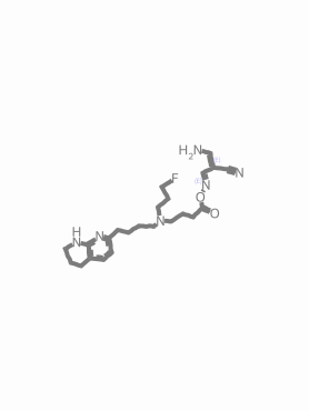 N#CC(/C=N/OC(=O)CCCN(CCCF)CCCCc1ccc2c(n1)NCCC2)=C/N